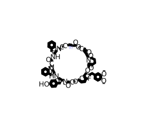 COc1ccc(CC[C@H]2OC(=O)[C@@H]3CCCCN3C(=O)C(=O)C(C)(C)COC(=O)/C=C/CCN(C)C(=O)[C@@H](Cc3ccccc3)NC(=O)CN(C)C(=O)[C@@H](Cc3ccccc3)NC(=O)[C@H](Cc3ccc(O)cc3)N(C)C(=O)COc3ccc(F)c2c3)cc1OC